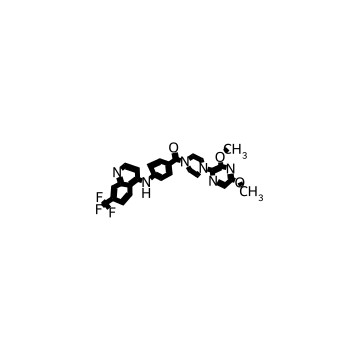 COc1cnc(N2CCN(C(=O)c3ccc(Nc4ccnc5cc(C(F)(F)F)ccc45)cc3)CC2)c(OC)n1